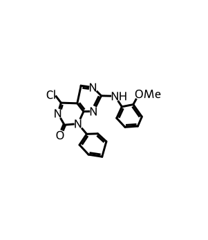 COc1ccccc1Nc1ncc2c(Cl)nc(=O)n(-c3ccccc3)c2n1